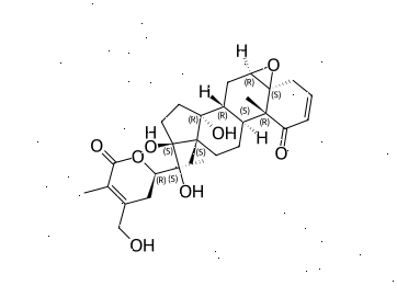 CC1=C(CO)C[C@H]([C@](C)(O)[C@]2(O)CC[C@@]3(O)[C@@H]4C[C@H]5O[C@]56CC=CC(=O)[C@]6(C)[C@H]4CC[C@]23C)OC1=O